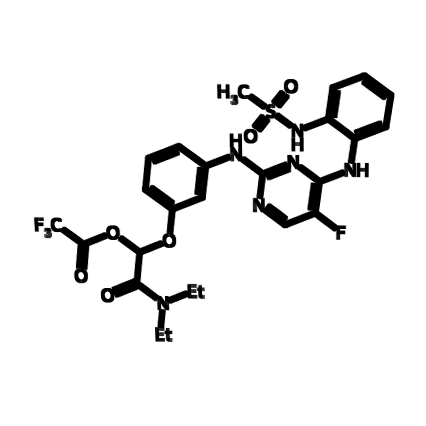 CCN(CC)C(=O)C(OC(=O)C(F)(F)F)Oc1cccc(Nc2ncc(F)c(Nc3ccccc3NS(C)(=O)=O)n2)c1